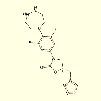 O=C1O[C@@H](Cn2ccnn2)CN1c1cc(F)c(N2CCNNCC2)c(F)c1